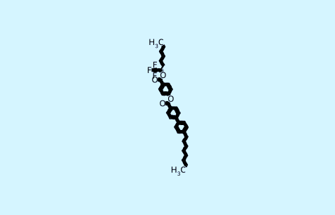 CCCCCCCCc1ccc(-c2ccc(C(=O)Oc3ccc(C(=O)O[C@H](CCCCCC)C(F)(F)F)cc3)cc2)cc1